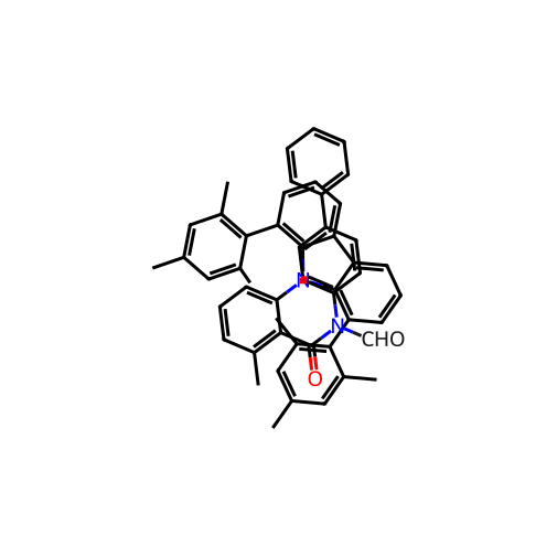 Cc1cc(C)c(-c2cccc3c4cccc(-c5c(C)cc(C)cc5C)c4n(-c4cccc(C)c4C(=O)N(C=O)c4ccc(-c5ccccc5)cc4)c23)c(C)c1